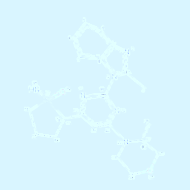 Cc1nc2ccccc2n1-c1nc([C@@H]2CCCS2(=N)=O)cc(N2CCOC[C@H]2C)n1